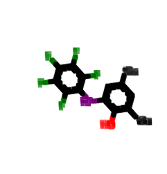 CC(C)(C)c1cc(Pc2c(F)c(F)c(F)c(F)c2F)c(O)c(C(C)(C)C)c1